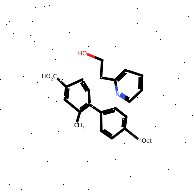 CCCCCCCCc1ccc(-c2ccc(C(=O)O)cc2C)cc1.OCCc1ccccn1